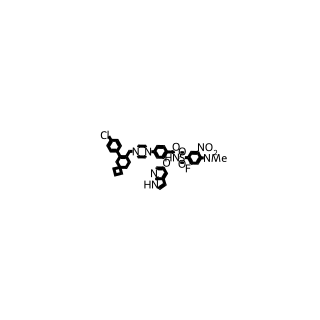 CNc1cc(F)c(S(=O)(=O)NC(=O)c2ccc(N3CCN(CC4=C(c5ccc(Cl)cc5)CC5(CCC5)CC4)CC3)cc2Oc2cnc3[nH]ccc3c2)cc1[N+](=O)[O-]